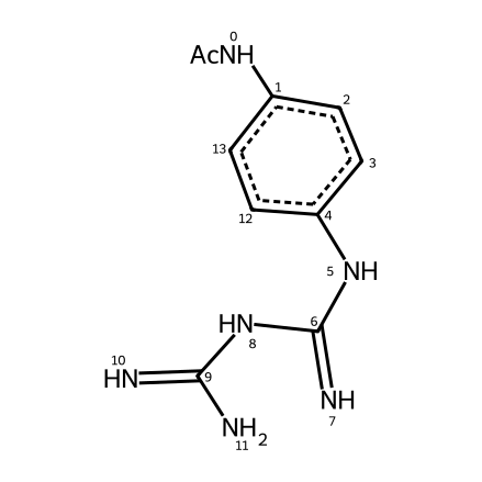 CC(=O)Nc1ccc(NC(=N)NC(=N)N)cc1